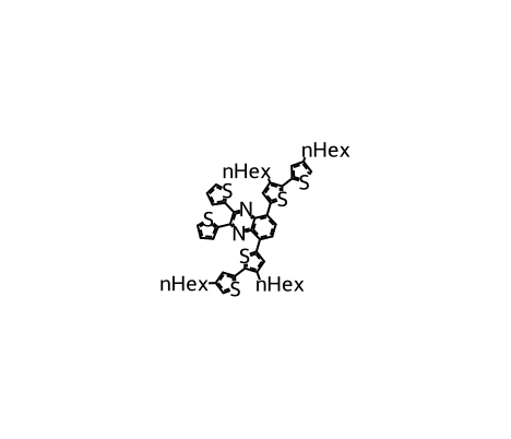 CCCCCCc1csc(-c2sc(-c3ccc(-c4cc(CCCCCC)c(-c5cc(CCCCCC)cs5)s4)c4nc(-c5cccs5)c(-c5cccs5)nc34)cc2CCCCCC)c1